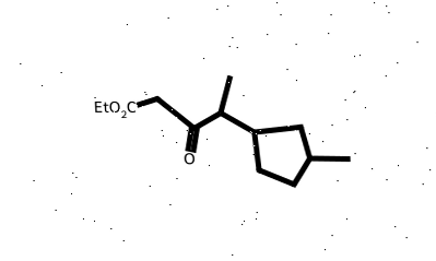 CCOC(=O)CC(=O)C(C)C1CCC(C)C1